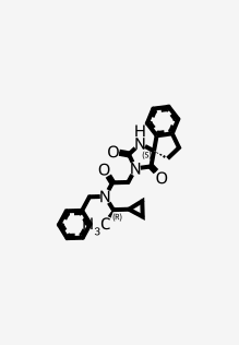 C[C@H](C1CC1)N(Cc1ccccc1)C(=O)CN1C(=O)N[C@]2(CCc3ccccc32)C1=O